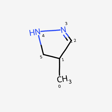 CC1[C]=NNC1